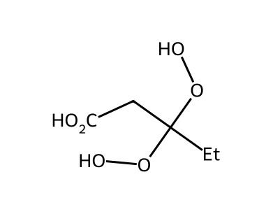 CCC(CC(=O)O)(OO)OO